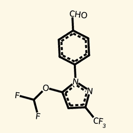 O=Cc1ccc(-n2nc(C(F)(F)F)cc2OC(F)F)cc1